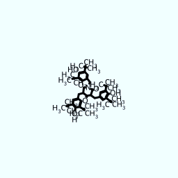 CC(C)(C)c1cc(CC2C(=O)C(Cc3cc(C(C)(C)C)c(O)c(C(C)(C)C)c3)C(=O)N(Cc3cc(C(C)(C)C)c(O)c(C(C)(C)C)c3)C2=O)cc(C(C)(C)C)c1O